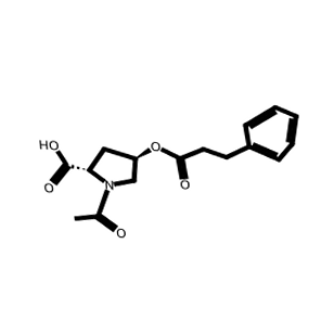 CC(=O)N1C[C@H](OC(=O)CCc2ccccc2)C[C@H]1C(=O)O